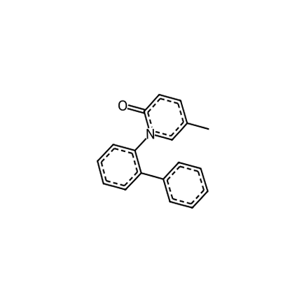 Cc1ccc(=O)n(-c2ccccc2-c2ccccc2)c1